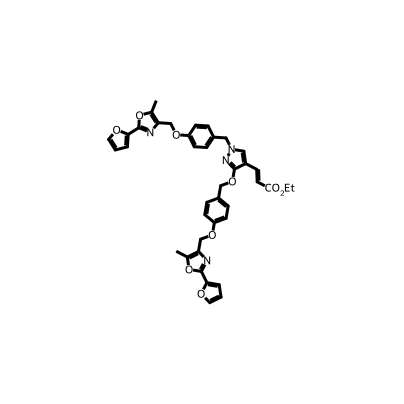 CCOC(=O)/C=C/c1cn(Cc2ccc(OCc3nc(-c4ccco4)oc3C)cc2)nc1OCc1ccc(OCc2nc(-c3ccco3)oc2C)cc1